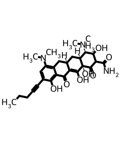 CCCC#Cc1cc(N(C)C)c2c(c1O)C(=O)C1=C(O)[C@]3(O)C(=O)C(C(N)=O)C(O)[C@@H](N(C)C)[C@@H]3C[C@@H]1C2